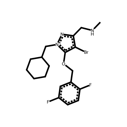 CNCc1nn(CC2CCCCC2)c(OCc2cc(F)ccc2F)c1Br